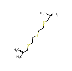 C=C(C)CSCCSCCSCC(=C)C